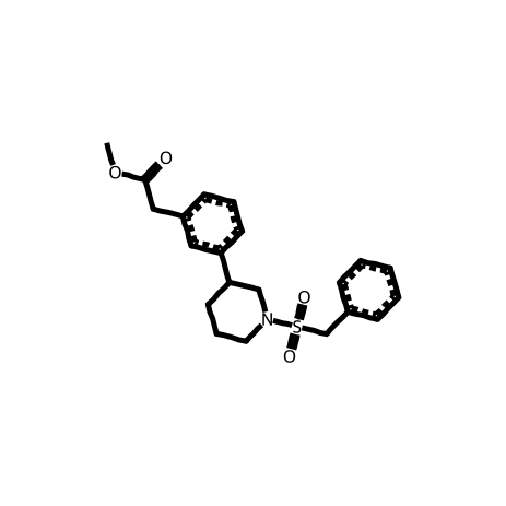 COC(=O)Cc1cccc(C2CCCN(S(=O)(=O)Cc3ccccc3)C2)c1